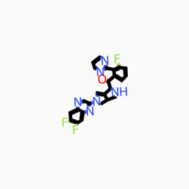 O=C(c1cccc(F)c1-c1ncccn1)C1NCC2CN(c3cnc4cc(F)c(F)cc4n3)C=C21